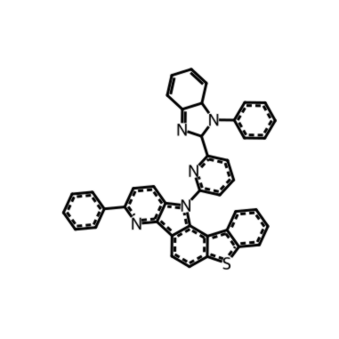 C1=CC2=NC(c3cccc(-n4c5ccc(-c6ccccc6)nc5c5ccc6sc7ccccc7c6c54)n3)N(c3ccccc3)C2C=C1